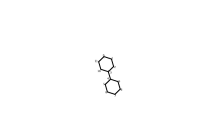 [CH]1CC[C](C2CCCCC2)CC1